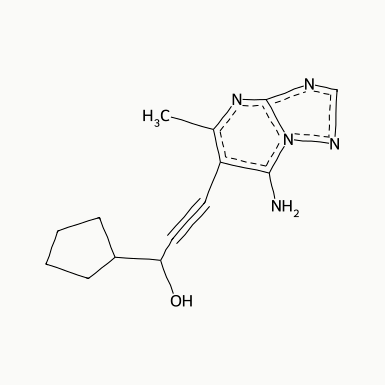 Cc1nc2ncnn2c(N)c1C#CC(O)C1CCCC1